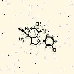 C[C@@H](N)C(=O)N1C(C(C)(C)C#N)CC[C@H]1c1cc(Cl)ccc1F